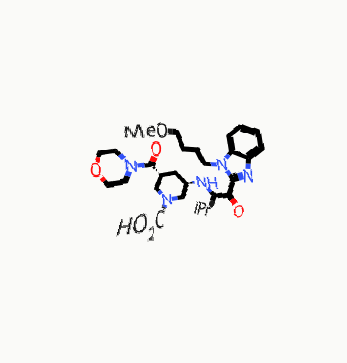 COCCCCn1c(C(=O)C(N[C@H]2C[C@@H](C(=O)N3CCOCC3)CN(C(=O)O)C2)C(C)C)nc2ccccc21